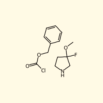 COC1(F)CCNC1.O=C(Cl)OCc1ccccc1